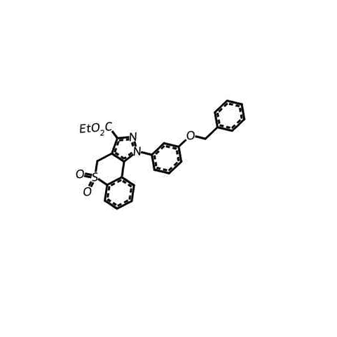 CCOC(=O)c1nn(-c2cccc(OCc3ccccc3)c2)c2c1CS(=O)(=O)c1ccccc1-2